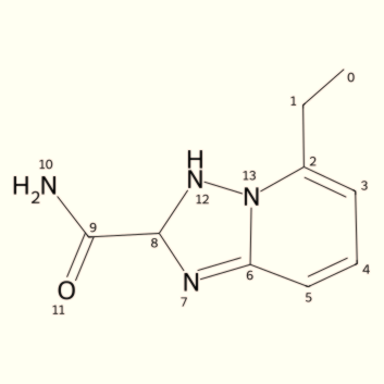 CCC1=CC=CC2=NC(C(N)=O)NN12